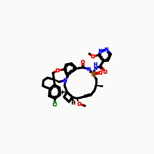 COc1nnccc1C(=O)NS1(=O)=NC(=O)c2ccc3c(c2)N(C[C@@H]2CC[C@H]2[C@@H](OC)/C=C/C[C@H](C)C1)C[C@@]1(CCCc2cc(Cl)ccc21)CO3